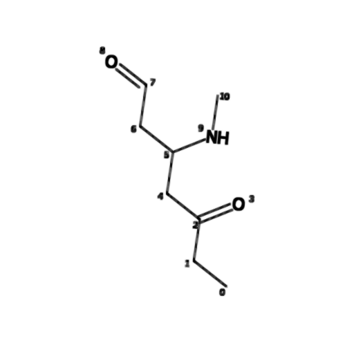 CCC(=O)CC(CC=O)NC